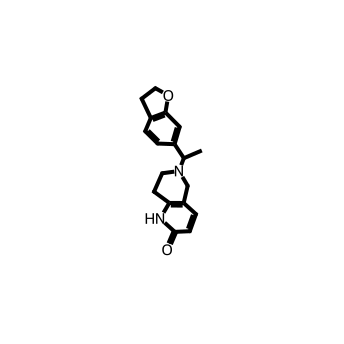 CC(c1ccc2c(c1)OCC2)N1CCc2[nH]c(=O)ccc2C1